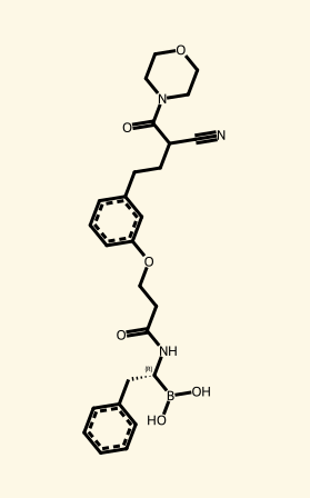 N#CC(CCc1cccc(OCCC(=O)N[C@@H](Cc2ccccc2)B(O)O)c1)C(=O)N1CCOCC1